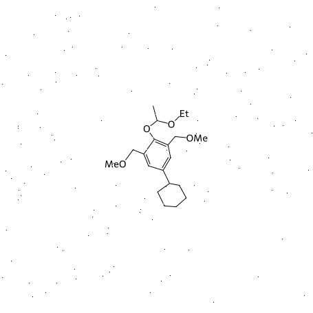 CCOC(C)Oc1c(COC)cc(C2CCCCC2)cc1COC